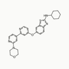 c1cc(Oc2ccc3nc(NC4CCCCC4)sc3c2)cc(-c2ccnc(N3CCOCC3)c2)n1